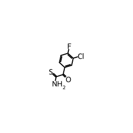 NC(=S)C(=O)c1ccc(F)c(Cl)c1